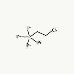 CC(C)P(CCC#N)(C(C)C)(C(C)C)C(C)C